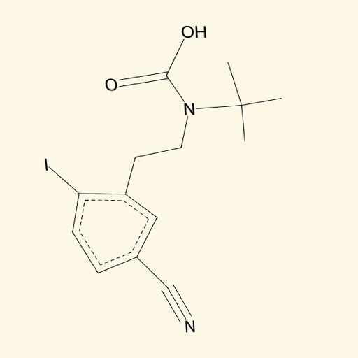 CC(C)(C)N(CCc1cc(C#N)ccc1I)C(=O)O